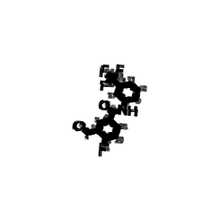 O=Cc1cc(C(=O)Nc2cccc(C(F)(F)F)c2)ccc1F